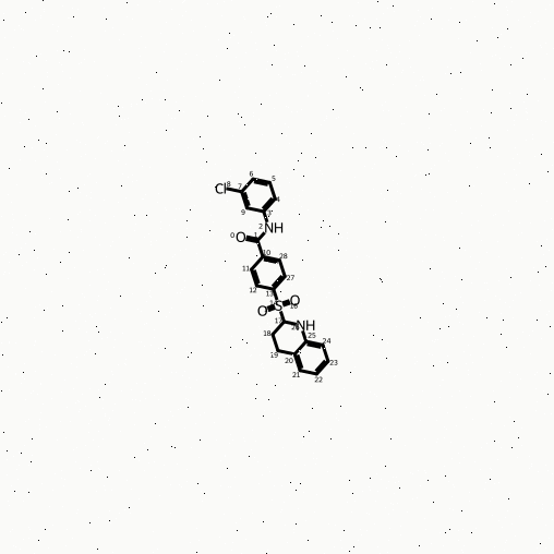 O=C(Nc1cccc(Cl)c1)c1ccc(S(=O)(=O)C2CCc3ccccc3N2)cc1